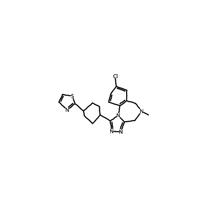 CN1Cc2cc(Cl)ccc2-n2c(nnc2C2CCC(c3nccs3)CC2)C1